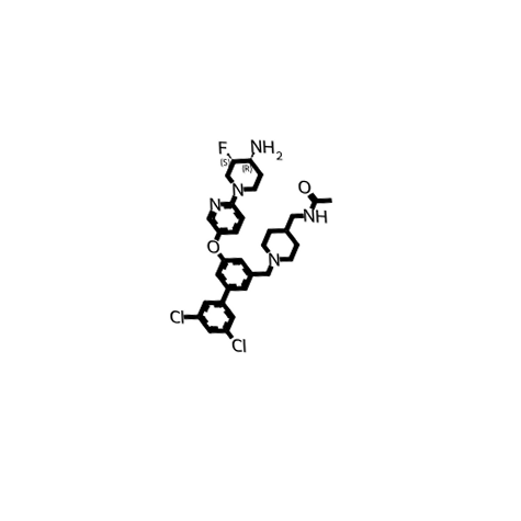 CC(=O)NCC1CCN(Cc2cc(Oc3ccc(N4CC[C@@H](N)[C@@H](F)C4)nc3)cc(-c3cc(Cl)cc(Cl)c3)c2)CC1